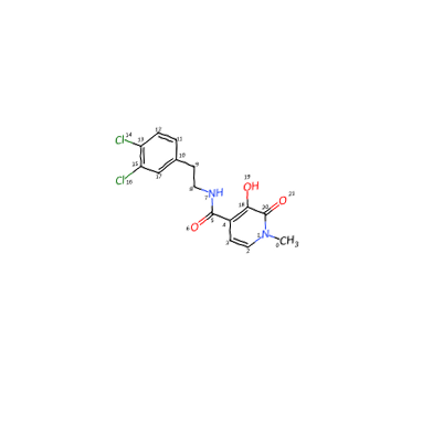 Cn1ccc(C(=O)NCCc2ccc(Cl)c(Cl)c2)c(O)c1=O